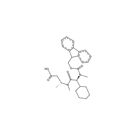 C[C@H](CC(=O)O)N(C)C(=O)[C@H](C1CCCCC1)N(C)C(=O)OCC1c2ccccc2-c2ccccc21